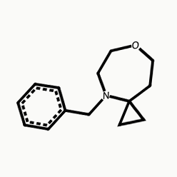 c1ccc(CN2CCOCCC23CC3)cc1